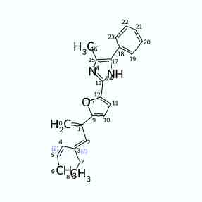 C=C(/C=C(\C=C/C)CC)c1ccc(-c2nc(C)c(-c3ccccc3)[nH]2)o1